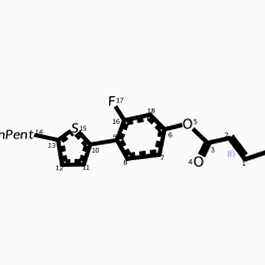 C/C=C/C(=O)Oc1ccc(-c2ccc(CCCCC)s2)c(F)c1